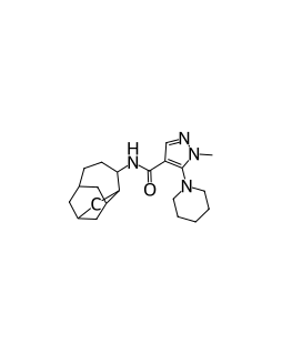 Cn1ncc(C(=O)NC2CCC3CC4CC(C3)C2C4)c1N1CCCCC1